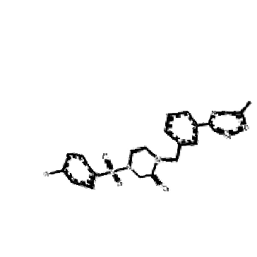 Cc1nc(-c2cccc(CN3CCN(S(=O)(=O)c4ccc(C(C)C)cc4)CC3=O)c2)no1